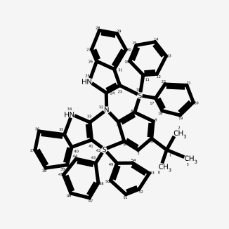 CC(C)(C)c1cc2c3c(c1)S(c1ccccc1)(c1ccccc1)c1c([nH]c4ccccc14)N3c1[nH]c3ccccc3c1S2(c1ccccc1)c1ccccc1